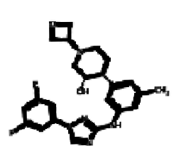 Cc1cc(Nc2ncn(-c3cc(F)cc(F)c3)n2)cc([C@H]2CCN(C3COC3)C[C@H]2O)c1